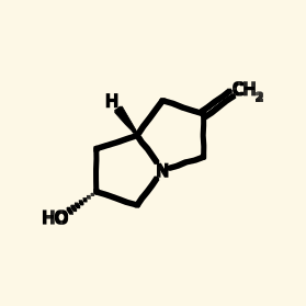 C=C1C[C@H]2C[C@@H](O)CN2C1